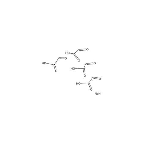 O=CC(=O)O.O=CC(=O)O.O=CC(=O)O.O=CC(=O)O.[NaH]